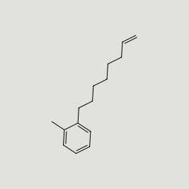 C=CCCCCCCc1ccccc1C